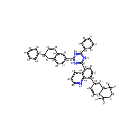 CC1(C)CCC(C)(C)C2C=C(c3ccc(-c4nc(-c5ccccc5)nc(-c5ccc6c(c5)C=CC(c5ccccc5)C6)n4)c4cccnc34)C=CC21